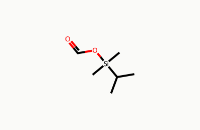 CC(C)[Si](C)(C)OC=O